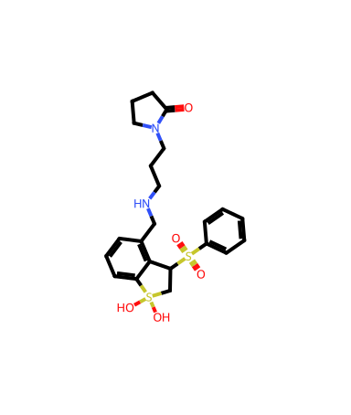 O=C1CCCN1CCCNCc1cccc2c1C(S(=O)(=O)c1ccccc1)CS2(O)O